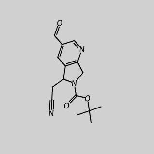 CC(C)(C)OC(=O)N1Cc2ncc(C=O)cc2C1CC#N